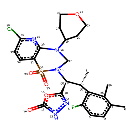 Cc1ccc(F)c([C@@H](C)[C@@H](c2n[nH]c(=O)o2)N2CN(C3CCOCC3)c3nc(Cl)ccc3S2(=O)=O)c1C